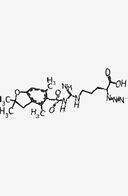 Cc1cc2c(c(C)c1S(=O)(=O)NC(=N)NCCC[C@H](N=[N+]=[N-])C(=O)O)CC(C)(C)O2